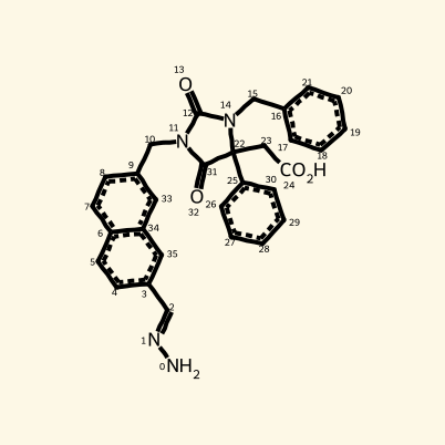 NN=Cc1ccc2ccc(CN3C(=O)N(Cc4ccccc4)C(CC(=O)O)(c4ccccc4)C3=O)cc2c1